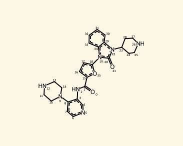 O=C(Nc1cnccc1N1CCNCC1)c1ccc(-n2c(=O)n(C3CCNCC3)c3ccccc32)o1